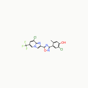 Cc1cc(O)c(Cl)cc1-c1noc(-c2cn3cc(C(F)(F)F)cc(Cl)c3n2)n1